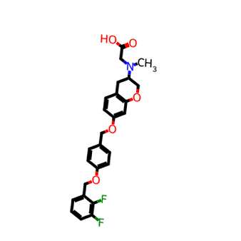 CN(CC(=O)O)C1COc2cc(OCc3ccc(OCc4cccc(F)c4F)cc3)ccc2C1